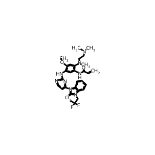 C=CC(=O)Nc1cc(Nc2nccc(-n3c(=O)n(CC(F)(F)I)c4ccccc43)n2)c(OC)cc1N(C)CCN(C)C